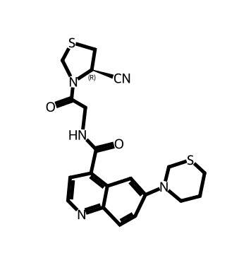 N#C[C@@H]1CSCN1C(=O)CNC(=O)c1ccnc2ccc(N3CCCSC3)cc12